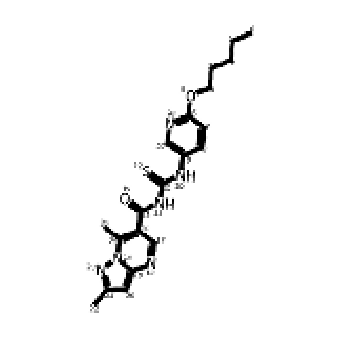 CCCCCOc1ccc(NC(=S)NC(=O)c2cnc3cc(C)nn3c2C)cn1